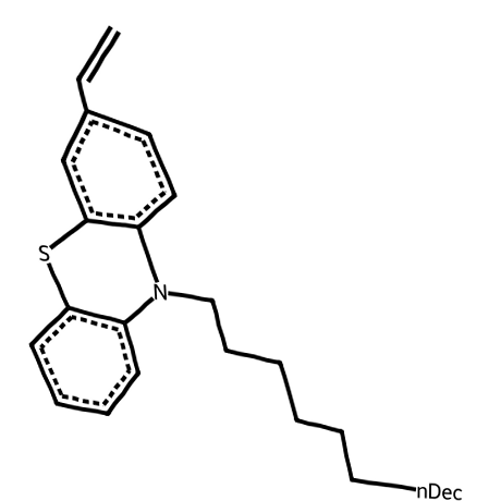 C=Cc1ccc2c(c1)Sc1ccccc1N2CCCCCCCCCCCCCCCC